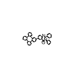 O=c1c2cc(-c3ccc4c(c3)-c3ccccc3-c3ccccc3-c3ccccc3-4)ccc2nc(-c2ccccc2)n1-c1ccccc1